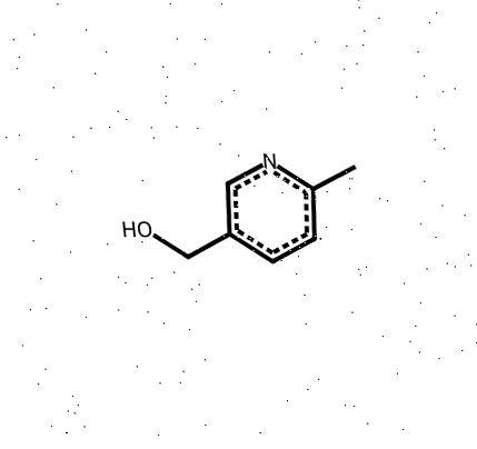 Cc1[c]cc(CO)cn1